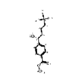 COC(=O)c1ccc([C@H](O)CCCC(F)(F)F)cc1